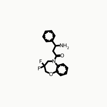 NC(CC(=O)N1CC(F)(F)COc2ccccc21)c1ccccc1